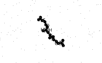 C1=CCCC(C2N=C(c3ccc(-c4ccc5c(c4)c4ccccc4n5-c4cccc5c4sc4ccc(-c6ccc7c8c(oc7c6)=CCC(c6nc(-c7ccccc7)nc(-c7ccccc7)n6)C=8)cc45)cc3)NC(c3ccc4oc5cc(-c6ccc7sc8cc(-n9c%10ccccc%10c%10ccccc%109)ccc8c7c6)ccc5c4c3)N2)=C1